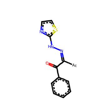 CC(=O)/C(=N/Nc1nccs1)C(=O)c1ccccc1